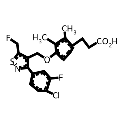 Cc1c(CCC(=O)O)ccc(OCc2c(-c3ccc(Cl)c(F)c3)nsc2CF)c1C